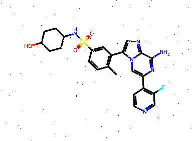 Cc1ccc(S(=O)(=O)NC2CCC(O)CC2)cc1-c1cnc2c(N)nc(-c3ccncc3F)cn12